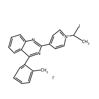 Cc1ccccc1-c1nc(-c2cc[n+](C(C)I)cc2)nc2ccccc12.[I-]